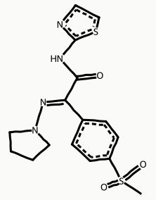 CS(=O)(=O)c1ccc(/C(=N\N2CCCC2)C(=O)Nc2nccs2)cc1